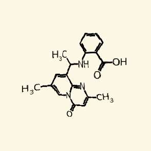 Cc1cc(C(C)Nc2ccccc2C(=O)O)c2nc(C)cc(=O)n2c1